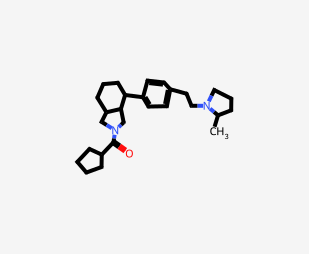 CC1CCCN1CCc1ccc(C2CCCC3CN(C(=O)C4CCCC4)CC32)cc1